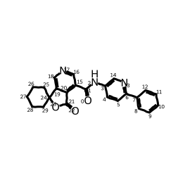 O=C(Nc1ccc(-c2ccccc2)nc1)c1cncc2c1C(=O)OC21CCCCC1